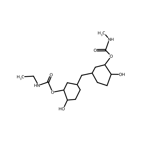 CCNC(=O)OC1CC(CC2CCC(O)C(OC(=O)NC)C2)CCC1O